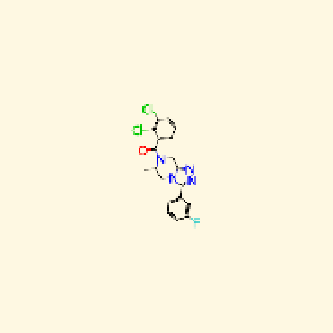 CC1Cn2c(nnc2-c2cccc(F)c2)CN1C(=O)c1cccc(Cl)c1Cl